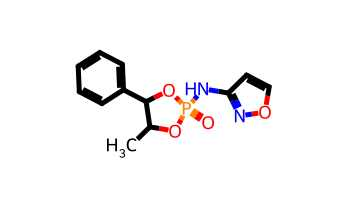 CC1OP(=O)(Nc2ccon2)OC1c1ccccc1